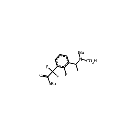 CCCCC(=O)C(F)(F)c1cccc(C(C)N(C(=O)O)C(C)(C)C)c1F